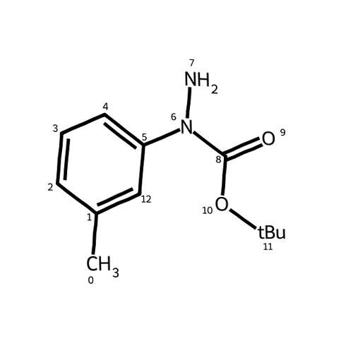 Cc1cccc(N(N)C(=O)OC(C)(C)C)c1